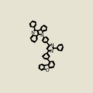 c1ccc(-c2nc(-c3ccc(-n4c5ccccc5c5c(-c6ccccc6)nc6ccccc6c54)cc3)cc(-c3cccc(-c4cccc5oc6ccccc6c45)c3)n2)cc1